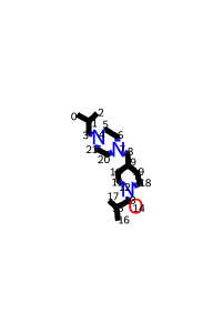 CC(C)CN1CCN(CC2CCN(C(=O)C(C)C)CC2)CC1